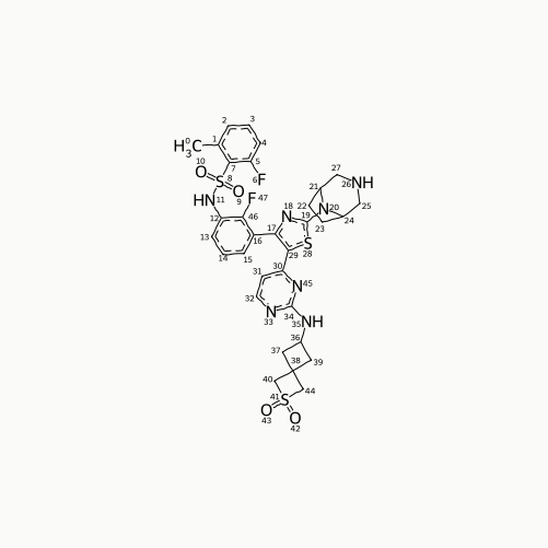 Cc1cccc(F)c1S(=O)(=O)Nc1cccc(-c2nc(N3C4CCC3CNC4)sc2-c2ccnc(NC3CC4(C3)CS(=O)(=O)C4)n2)c1F